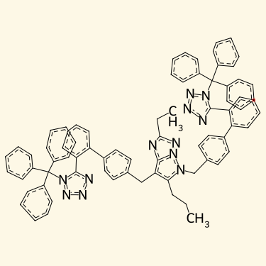 CCCc1c(Cc2ccc(-c3ccccc3-c3nnnn3C(c3ccccc3)(c3ccccc3)c3ccccc3)cc2)c2nc(CC)nn2n1Cc1ccc(-c2ccccc2-c2nnnn2C(c2ccccc2)(c2ccccc2)c2ccccc2)cc1